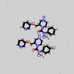 CN(C(=O)N1CCNCC1COc1cccnc1)c1ccc(Cl)cc1.CN(C(=O)N1CCNCC1COc1cccnc1)c1ccccc1